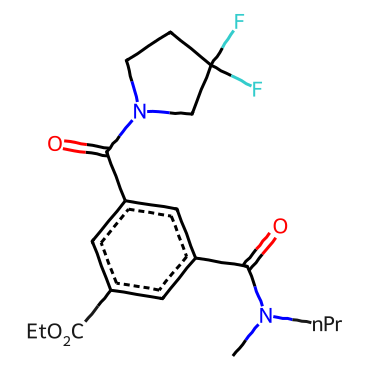 CCCN(C)C(=O)c1cc(C(=O)OCC)cc(C(=O)N2CCC(F)(F)C2)c1